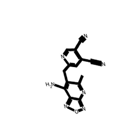 Cc1nc2nonc2c(N)c1Cc1cc(C#N)c(C#N)cn1